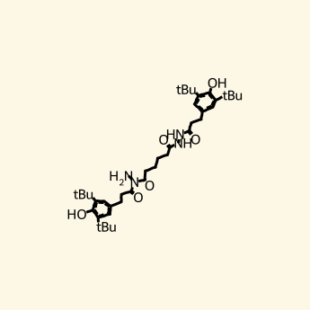 CC(C)(C)c1cc(CCC(=O)NNC(=O)CCCCC(=O)N(N)C(=O)CCc2cc(C(C)(C)C)c(O)c(C(C)(C)C)c2)cc(C(C)(C)C)c1O